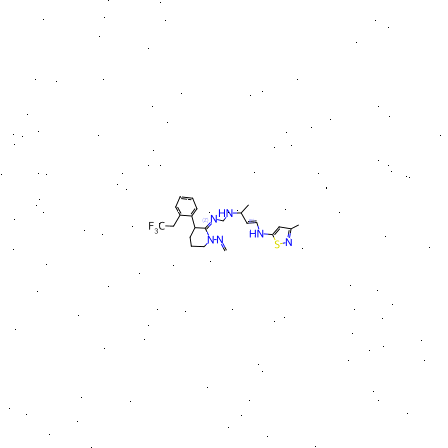 C=NN1CCCC(c2ccccc2CC(F)(F)F)/C1=N/CNC(C)/C=C/Nc1cc(C)ns1